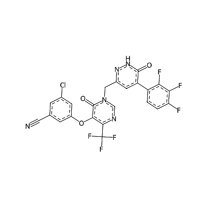 N#Cc1cc(Cl)cc(Oc2c(C(F)(F)F)ncn(Cc3cc(-c4ccc(F)c(F)c4F)c(=O)[nH]n3)c2=O)c1